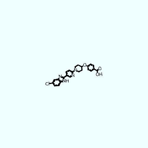 O=C(O)c1ccc(OC2CCN(c3ccc(-c4nc5cc(Cl)ccc5[nH]4)cn3)CC2)cc1